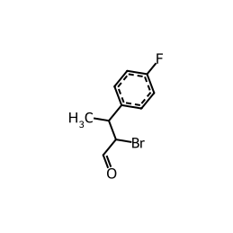 CC(c1ccc(F)cc1)C(Br)C=O